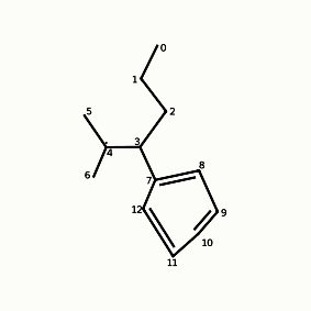 CCCC([C](C)C)c1ccccc1